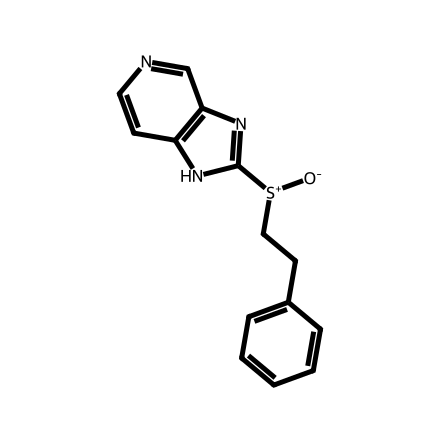 [O-][S+](CCc1ccccc1)c1nc2cnccc2[nH]1